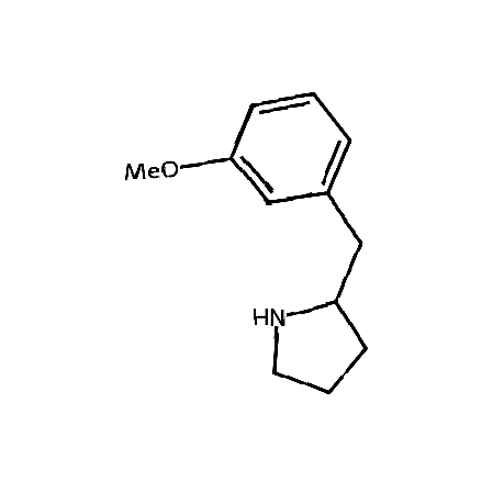 COc1cccc(CC2CCCN2)c1